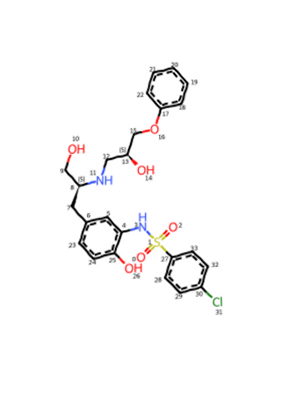 O=S(=O)(Nc1cc(C[C@@H](CO)NC[C@H](O)COc2ccccc2)ccc1O)c1ccc(Cl)cc1